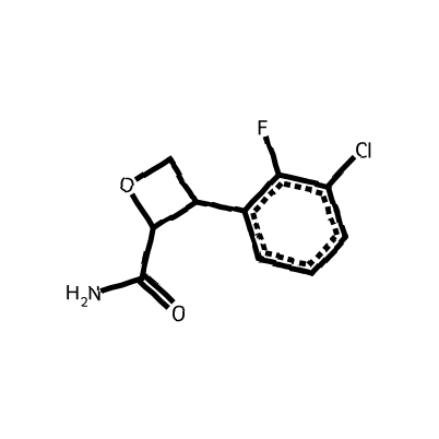 NC(=O)C1OCC1c1cccc(Cl)c1F